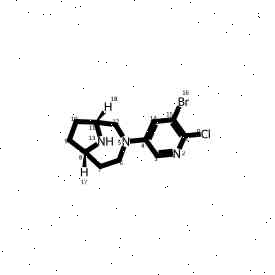 Clc1ncc(N2CC[C@@H]3CC[C@H](C2)N3)cc1Br